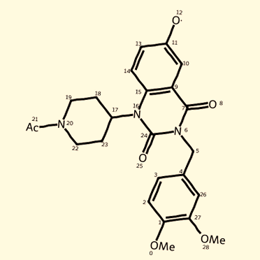 COc1ccc(Cn2c(=O)c3cc([O])ccc3n(C3CCN(C(C)=O)CC3)c2=O)cc1OC